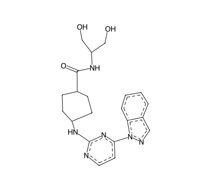 O=C(NC(CO)CO)C1CCC(Nc2nccc(-n3ncc4ccccc43)n2)CC1